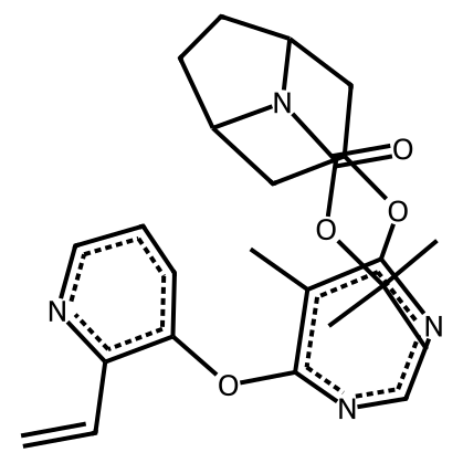 C=Cc1ncccc1Oc1ncnc(OC2CC3CCC(C2)N3C(=O)OC(C)(C)C)c1C